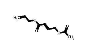 C=CCOC(=O)C=CCOC(C)=O